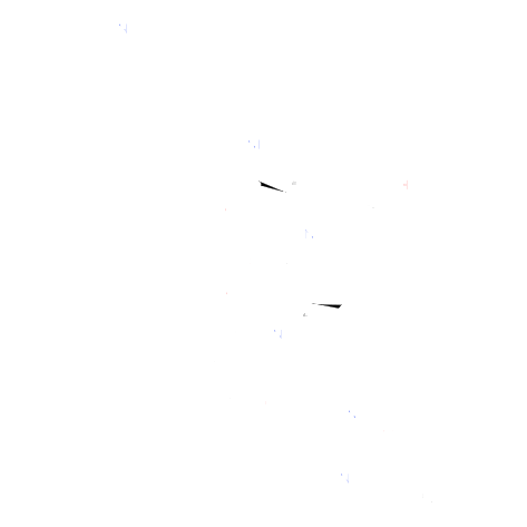 CC(C)C[C@@H](NC(=O)c1ccccc1OCc1noc(C(C)(C)C)n1)C(=O)N1C[C@@H](O)C[C@@H]1C(=O)NCCc1cccnc1